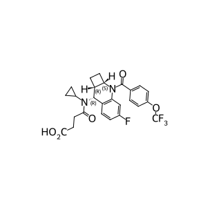 O=C(O)CCC(=O)N(C1CC1)[C@H]1c2ccc(F)cc2N(C(=O)c2ccc(OC(F)(F)F)cc2)[C@H]2CC[C@H]21